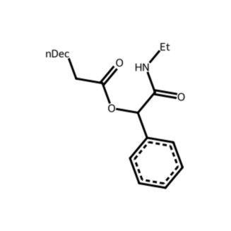 CCCCCCCCCCCC(=O)OC(C(=O)NCC)c1ccccc1